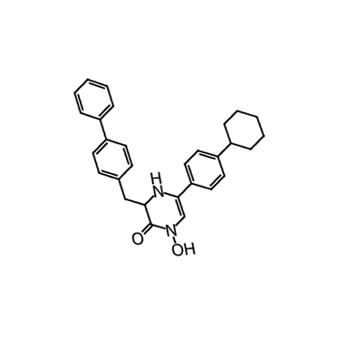 O=C1C(Cc2ccc(-c3ccccc3)cc2)NC(c2ccc(C3CCCCC3)cc2)=CN1O